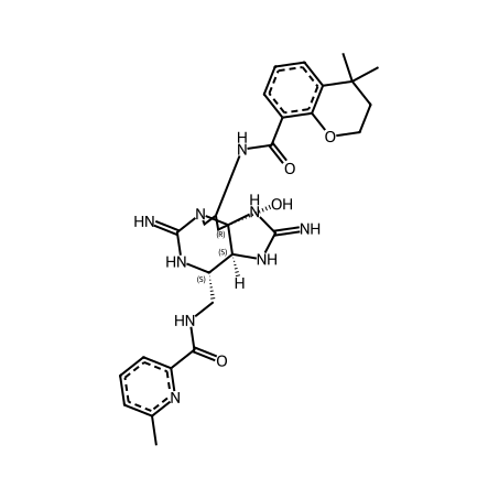 Cc1cccc(C(=O)NC[C@@H]2NC(=N)N3CC(NC(=O)c4cccc5c4OCCC5(C)C)[C@@H](O)C34NC(=N)N[C@@H]24)n1